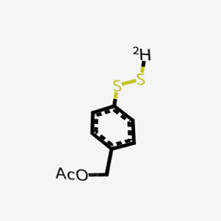 [2H]SSc1ccc(COC(C)=O)cc1